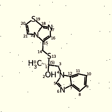 C[C@@](O)(Cn1cnc2ccccc21)SCc1cnc2sccn12